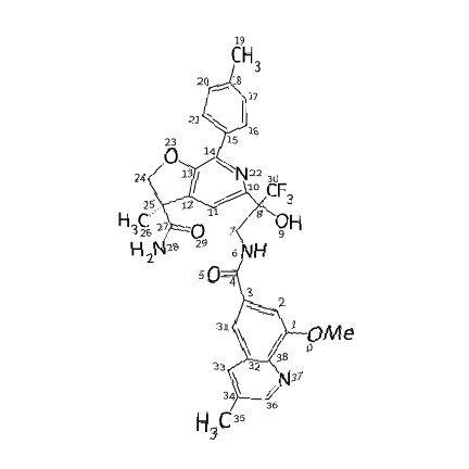 COc1cc(C(=O)NCC(O)(c2cc3c(c(-c4ccc(C)cc4)n2)OC[C@]3(C)C(N)=O)C(F)(F)F)cc2cc(C)cnc12